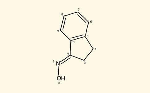 ON=C1CCc2[c]cccc21